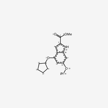 COC(=O)c1cc2c(OC3CCCC3)cc(OC(C)C)cc2[nH]1